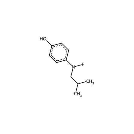 C[C](C)CN(F)c1ccc(O)cc1